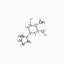 COc1cc(-c2nnn[nH]2)cc(C)c1O